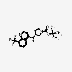 CC(C)(C)OC(=O)N1CC[C@H](Nc2ccnc3c(C(F)(F)F)cccc23)C1